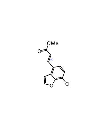 COC(=O)/C=C/c1ccc(Cl)c2occc12